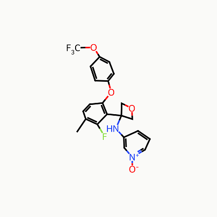 Cc1ccc(Oc2ccc(OC(F)(F)F)cc2)c(C2(Nc3ccc[n+]([O-])c3)COC2)c1F